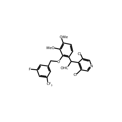 COc1ccc(C(C=O)c2c(Cl)cncc2Cl)c(OCc2cc(F)cc(C(F)(F)F)c2)c1OC